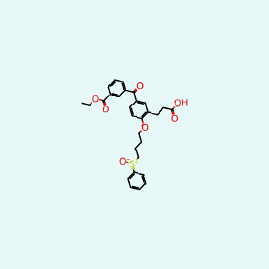 CCOC(=O)c1cccc(C(=O)c2ccc(OCCCC[S+]([O-])c3ccccc3)c(CCC(=O)O)c2)c1